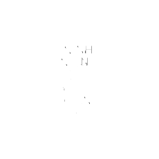 CN1CCCC(c2nn[nH]n2)C1